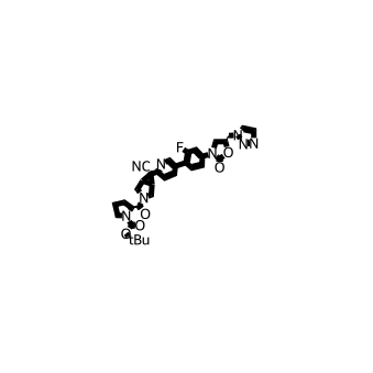 CC(C)(C)OC(=O)N1CCC[C@H]1C(=O)N1CC2C(C1)C2(C#N)c1ccc(-c2ccc(N3C[C@H](Cn4ccnn4)OC3=O)cc2F)cn1